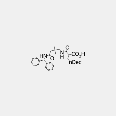 CCCCCCCCCCCC(C(=O)O)C(=O)NCC(C)(C)CC(=O)NC(c1ccccc1)c1ccccc1